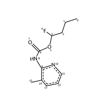 CCCC(F)OC(=O)Nc1ncccc1C